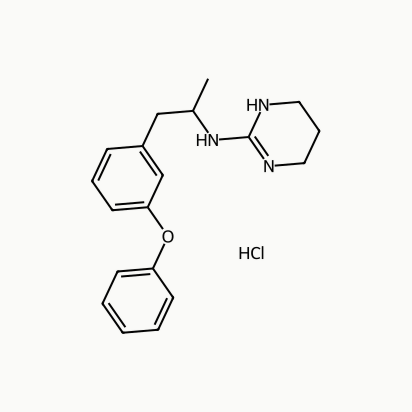 CC(Cc1cccc(Oc2ccccc2)c1)NC1=NCCCN1.Cl